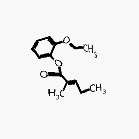 CCC=C(C)C(=O)Oc1ccccc1OCC